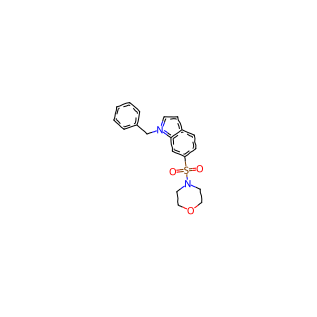 O=S(=O)(c1ccc2ccn(Cc3ccccc3)c2c1)N1CCOCC1